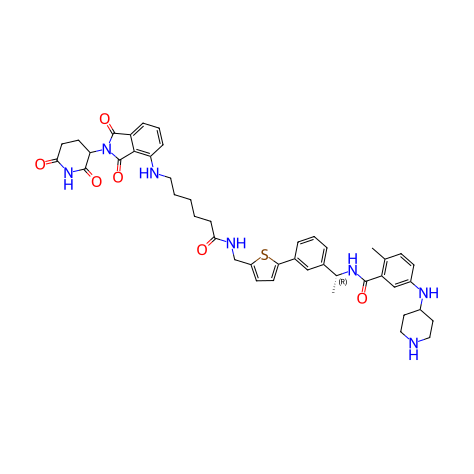 Cc1ccc(NC2CCNCC2)cc1C(=O)N[C@H](C)c1cccc(-c2ccc(CNC(=O)CCCCCNc3cccc4c3C(=O)N(C3CCC(=O)NC3=O)C4=O)s2)c1